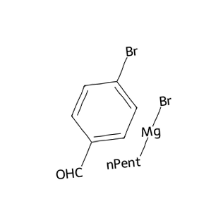 CCCC[CH2][Mg][Br].O=Cc1ccc(Br)cc1